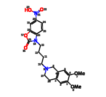 COc1cc2c(cc1OC)CN(CCCCn1c(=O)oc3cc([N+](=O)O)ccc31)CC2